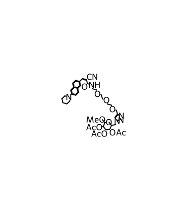 COC1OC(Cn2cc(COCCOCCOCCNC(=O)C(C#N)=Cc3ccc4cc(N5CCCCC5)ccc4c3)nn2)C(OC(C)=O)C(OC(C)=O)C1OC(C)=O